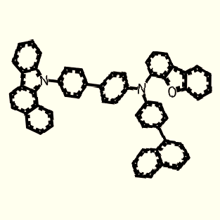 c1ccc2c(-c3ccc(N(c4ccc(-c5ccc(-n6c7ccccc7c7ccc8ccccc8c76)cc5)cc4)c4cccc5c4oc4ccccc45)cc3)cccc2c1